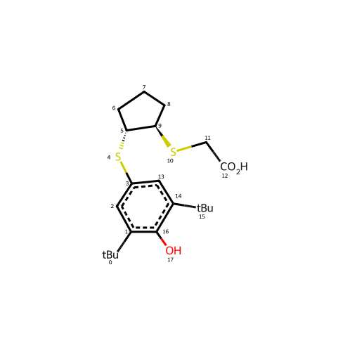 CC(C)(C)c1cc(S[C@@H]2CCC[C@H]2SCC(=O)O)cc(C(C)(C)C)c1O